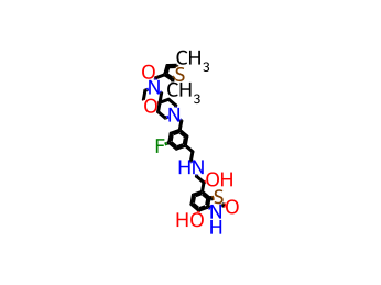 Cc1cc(C(=O)N2CCOC3(CCN(Cc4cc(F)cc(CCNCC(O)c5ccc(O)c6[nH]c(=O)sc56)c4)CC3)C2)c(C)s1